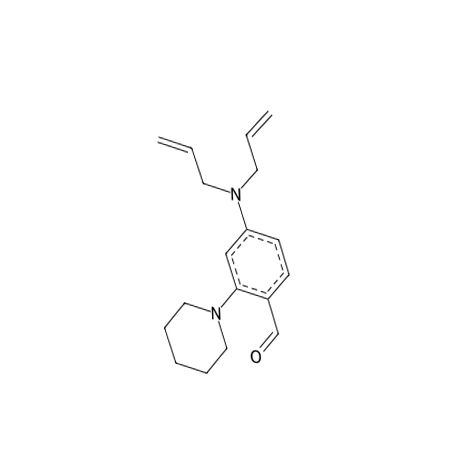 C=CCN(CC=C)c1ccc(C=O)c(N2CCCCC2)c1